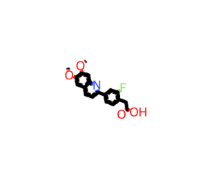 COc1cc2ccc(-c3ccc(CC(=O)O)c(F)c3)nc2cc1OC